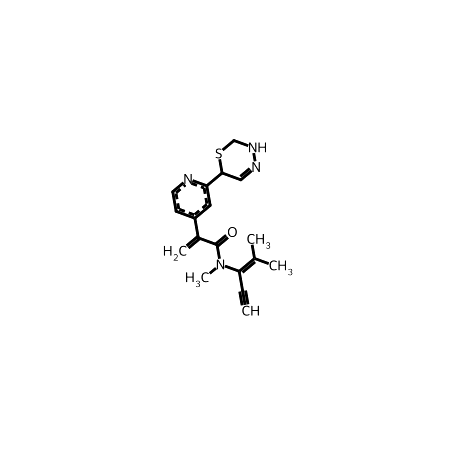 C#CC(=C(C)C)N(C)C(=O)C(=C)c1ccnc(C2C=NNCS2)c1